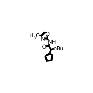 CCCCC(C(=O)Nc1nc(C)co1)c1ccccc1